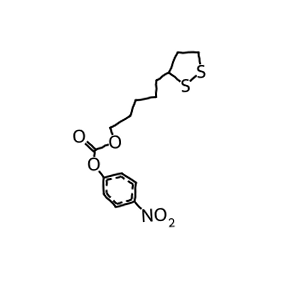 O=C(OCCCCCC1CCSS1)Oc1ccc([N+](=O)[O-])cc1